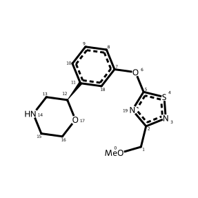 COCc1nsc(Oc2cccc([C@@H]3CNCCO3)c2)n1